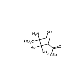 CCCCC(=O)C(C)C(N)(C(C)=O)C(N)(CS)C(=O)O